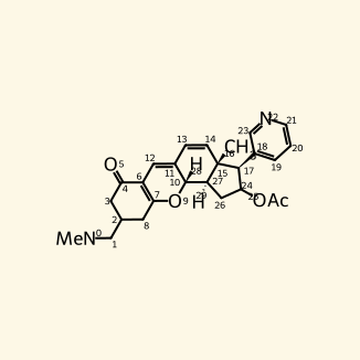 CNCC1CC(=O)C2=C(C1)O[C@@H]1C(=C2)C=C[C@]2(C)[C@@H](c3cccnc3)C(OC(C)=O)C[C@@H]12